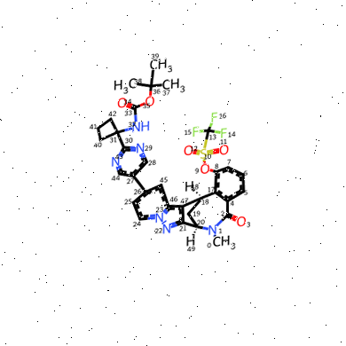 CN1C(=O)c2cccc(OS(=O)(=O)C(F)(F)F)c2[C@H]2C[C@@H]1c1nn3ccc(-c4cnc(C5(NC(=O)OC(C)(C)C)CCC5)nc4)cc3c12